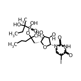 CCCC(C)(C[C@H]1O[C@@H](n2cc(I)c(=O)[nH]c2=O)[C@H](O)[C@@H]1O)OP(=O)(O)C(C)(O)CC